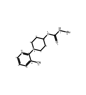 CC(C)(C)NC(=O)OC1CCN(c2ncccc2C#N)CC1